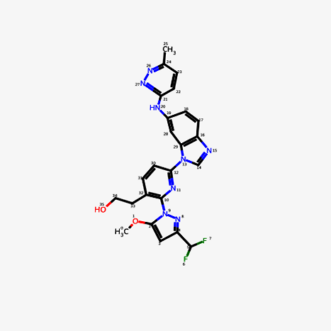 COc1cc(C(F)F)nn1-c1nc(-n2cnc3ccc(Nc4ccc(C)nn4)cc32)ccc1CCO